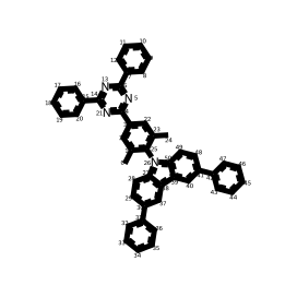 Cc1cc(-c2nc(-c3ccccc3)nc(-c3ccccc3)n2)cc(C)c1-n1c2ccc(-c3ccccc3)cc2c2cc(-c3ccccc3)ccc21